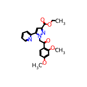 CCOC(=O)c1cc(-c2ccccn2)n(CC(=O)c2ccc(OC)cc2OC)n1